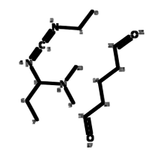 CCN=C=NC(CC)N(C)C.O=CCCCC=O